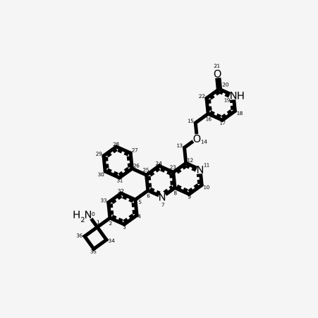 NC1(c2ccc(-c3nc4ccnc(COCc5cc[nH]c(=O)c5)c4cc3-c3ccccc3)cc2)CCC1